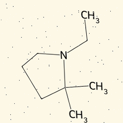 CCN1CCCC1(C)C